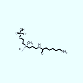 C[N+](C)(CCCNC(=O)CCCCCN)CCOP(=O)([O-])O